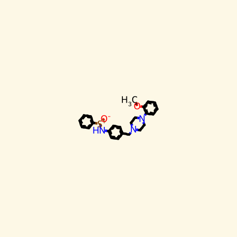 COc1ccccc1N1CCN(Cc2ccc(N[S+]([O-])c3ccccc3)cc2)CC1